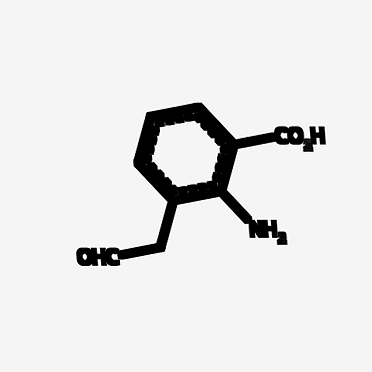 Nc1c(CC=O)cccc1C(=O)O